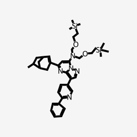 CC1CC2C=C(c3cc(N(COCC[Si](C)(C)C)COCC[Si](C)(C)C)n4ncc(-c5ccc(-c6ccccc6)nc5)c4n3)CC1C2